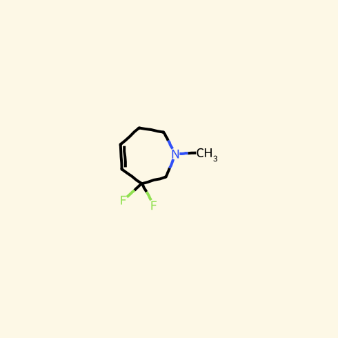 CN1CCC=CC(F)(F)C1